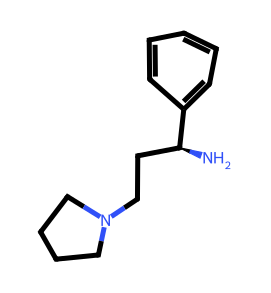 N[C@@H](CCN1CCCC1)c1ccccc1